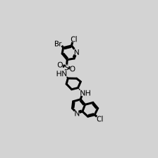 O=S(=O)(N[C@H]1CC[C@@H](Nc2ccnc3cc(Cl)ccc23)CC1)c1cnc(Cl)c(Br)c1